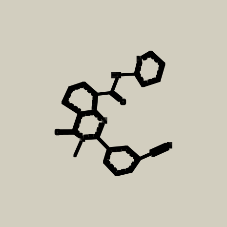 Cn1c(-c2cccc(C#N)c2)nc2c(C(=O)Nc3ccccn3)cccc2c1=O